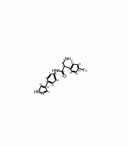 NCC(C(=O)Nc1ccc(-c2cn[nH]c2)cc1)c1ccc(F)cc1